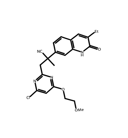 CCc1cc2ccc(C(C)(C#N)Cc3nc(Cl)cc(OCCOC)n3)cc2[nH]c1=O